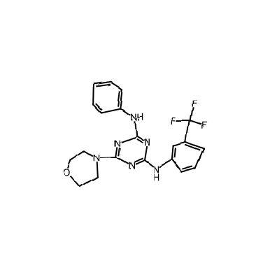 FC(F)(F)c1cccc(Nc2nc(Nc3ccccc3)nc(N3CCOCC3)n2)c1